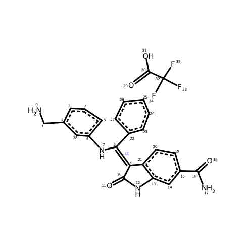 NCc1cccc(N/C(=C2\C(=O)Nc3cc(C(N)=O)ccc32)c2ccccc2)c1.O=C(O)C(F)(F)F